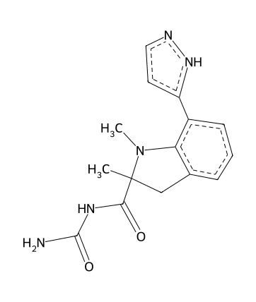 CN1c2c(cccc2-c2ccn[nH]2)CC1(C)C(=O)NC(N)=O